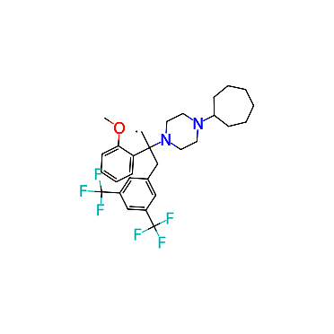 [CH2]C(Cc1cc(C(F)(F)F)cc(C(F)(F)F)c1)(c1ccccc1OC)N1CCN(C2CCCCCC2)CC1